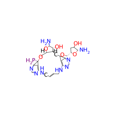 N[C@@H]1O[C@@H]2COC3(P)c4ncnc(c43)NC/C=C/CNc3ncnc4c3C4(OC[C@@H]3C[C@@H](O)[C@H](N)O3)C[C@H]2[C@H]1O